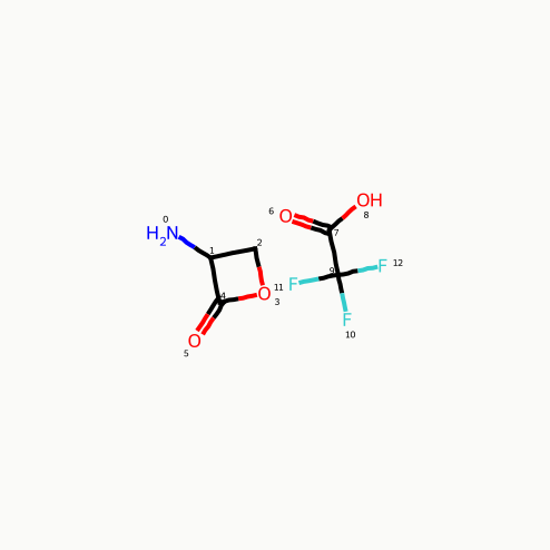 NC1COC1=O.O=C(O)C(F)(F)F